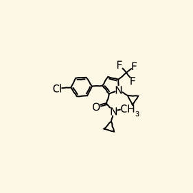 CN(C(=O)c1c(-c2ccc(Cl)cc2)cc(C(F)(F)F)n1C1CC1)C1CC1